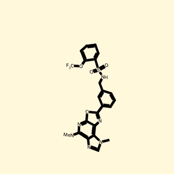 CNc1nc2oc(-c3cccc(CNS(=O)(=O)c4ccccc4OC(F)(F)F)c3)nc2c2c1ncn2C